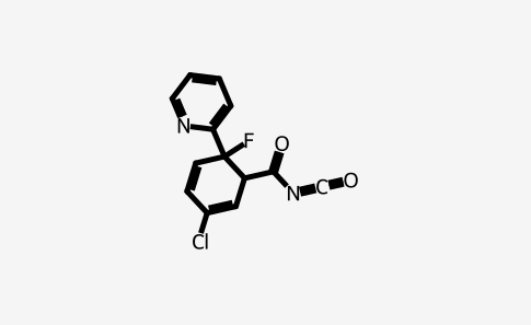 O=C=NC(=O)C1C=C(Cl)C=CC1(F)c1ccccn1